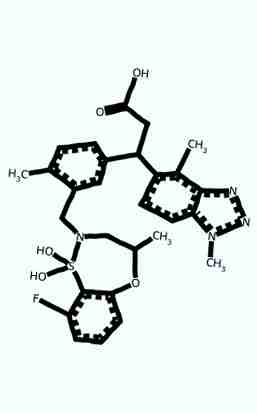 Cc1ccc(C(CC(=O)O)c2ccc3c(nnn3C)c2C)cc1CN1CC(C)Oc2cccc(F)c2S1(O)O